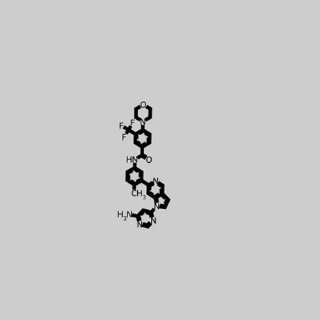 Cc1ccc(NC(=O)c2ccc(N3CCOCC3)c(C(F)(F)F)c2)cc1-c1cc2c(ccn2-c2cc(N)ncn2)cn1